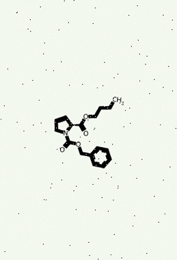 CCCCOC(=O)[C@@H]1C=CCN1C(=O)OCc1ccccc1